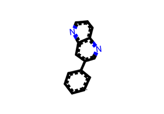 [c]1cccc(-c2cnc3cccnc3c2)c1